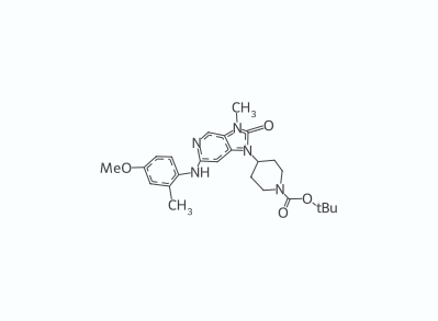 COc1ccc(Nc2cc3c(cn2)n(C)c(=O)n3C2CCN(C(=O)OC(C)(C)C)CC2)c(C)c1